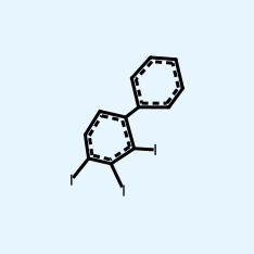 Ic1ccc(-c2ccccc2)c(I)c1I